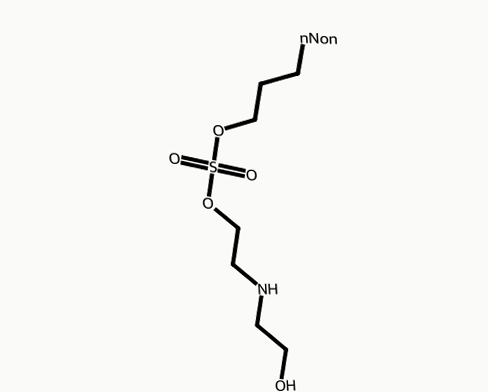 CCCCCCCCCCCCOS(=O)(=O)OCCNCCO